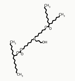 CCCCCCCCC(CCCCCC)COC(=O)OCCCCCCN(CCCO)CCCCCCOC(=O)C(CCCCCC)CCCCCCCC